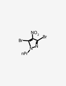 CCCn1nc(Br)c([N+](=O)[O-])c1Br